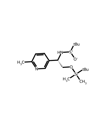 Cc1ccc([C@@H](CO[Si](C)(C)C(C)(C)C)N[S+]([O-])C(C)(C)C)cn1